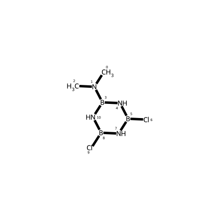 CN(C)B1NB(Cl)NB(Cl)N1